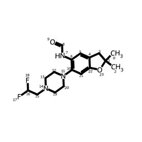 CC1(C)Cc2cc(NC=O)c(N3CCN(CC(F)F)CC3)cc2O1